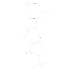 CC1CNCCC1(C)c1ccc2[nH]c(C(F)(F)F)nc2c1